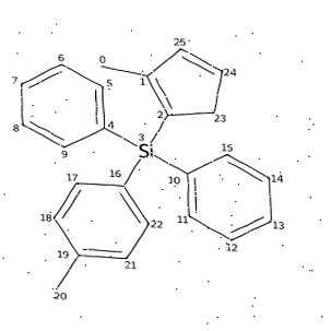 CC1=C([Si](c2ccccc2)(c2ccccc2)c2ccc(C)cc2)CC=C1